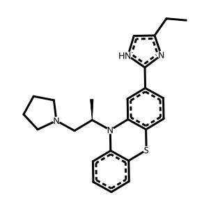 CCc1c[nH]c(-c2ccc3c(c2)N([C@H](C)CN2CCCC2)c2ccccc2S3)n1